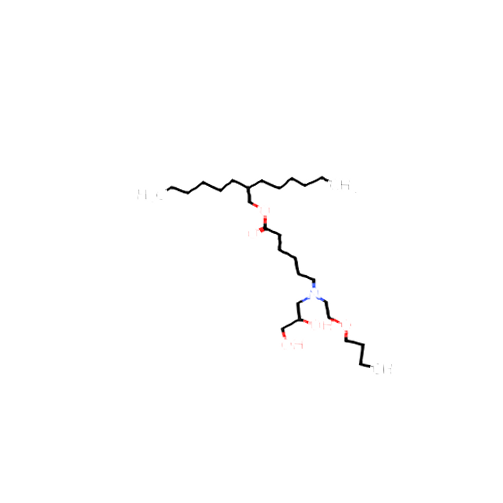 CCCCCCC(CCCCCC)COC(=O)CCCCCN(CCOCCCC)CC(O)CO